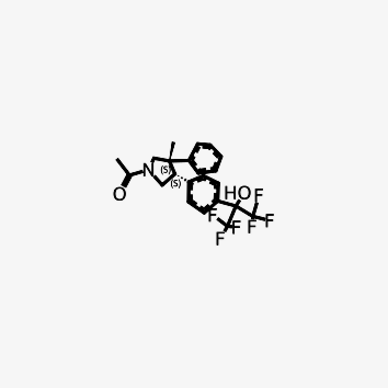 CC(=O)N1C[C@@H](c2ccc(C(O)(C(F)(F)F)C(F)(F)F)cc2)[C@@](C)(c2ccccc2)C1